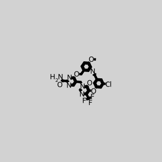 COc1ccc(COc2nc(C(N)=O)ncc2Cn2cnc(C(F)(F)F)c(Oc3cc(Cl)cc(C#N)c3)c2=O)cc1